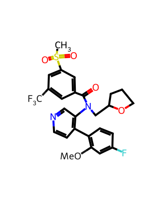 COc1cc(F)ccc1-c1ccncc1N(CC1CCCO1)C(=O)c1cc(C(F)(F)F)cc(S(C)(=O)=O)c1